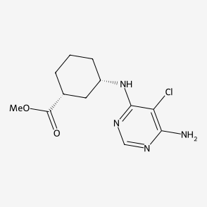 COC(=O)[C@@H]1CCC[C@H](Nc2ncnc(N)c2Cl)C1